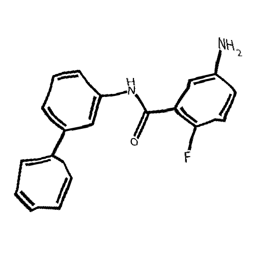 Nc1ccc(F)c(C(=O)Nc2cccc(-c3ccccc3)c2)c1